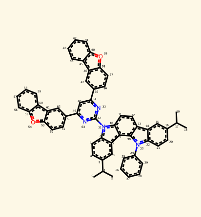 CC(C)c1ccc2c(c1)c1c(ccc3c4cc(C(C)C)ccc4n(-c4ccccc4)c31)n2-c1nc(-c2ccc3oc4ccccc4c3c2)cc(-c2ccc3oc4ccccc4c3c2)n1